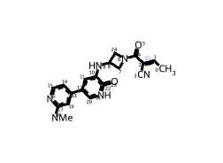 C/C=C(\C#N)C(=O)N1CC(Nc2cc(-c3ccnc(NC)c3)c[nH]c2=O)C1